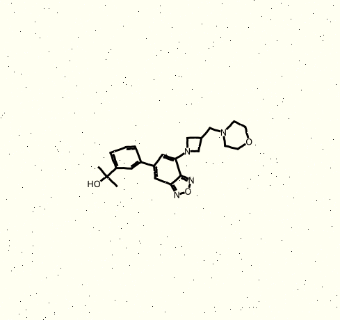 CC(C)(O)c1cccc(-c2cc(N3CC(CN4CCOCC4)C3)c3nonc3c2)c1